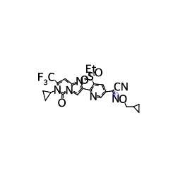 CCS(=O)(=O)c1cc(/C(C#N)=N/OCC2CC2)cnc1-c1cn2c(=O)n(C3CC3)c(C(F)(F)F)cc2n1